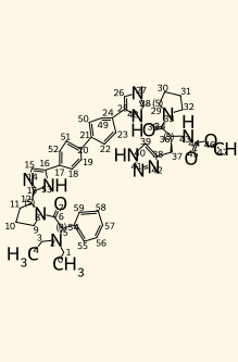 CCN(CC)[C@@H](C(=O)N1CCC[C@H]1c1ncc(-c2ccc(-c3ccc(-c4cnc([C@@H]5CCCN5C(=O)[C@H](Cc5c[nH]nn5)NC(=O)OC)[nH]4)cc3)cc2)[nH]1)c1ccccc1